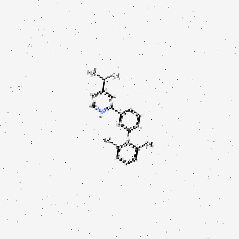 Cc1cccc(C)c1-c1cccc(-c2cc(C(C)C)ccn2)c1